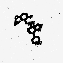 Fc1ccc2c(c1CNc1ncc(C3=CCNCC3)c3nncn13)C1CC1O2